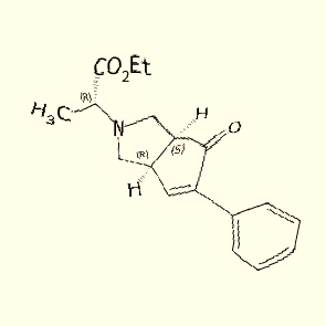 CCOC(=O)[C@@H](C)N1C[C@@H]2C=C(c3ccccc3)C(=O)[C@@H]2C1